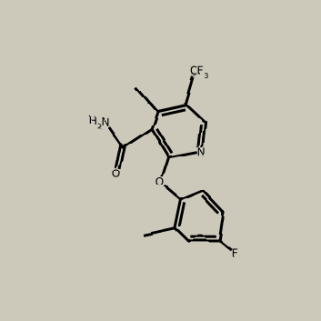 Cc1cc(F)ccc1Oc1ncc(C(F)(F)F)c(C)c1C(N)=O